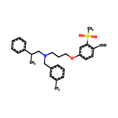 CC(CN(CCCOc1ccc(C=O)c(S(C)(=O)=O)c1)Cc1cccc(C(F)(F)F)c1)c1ccccc1